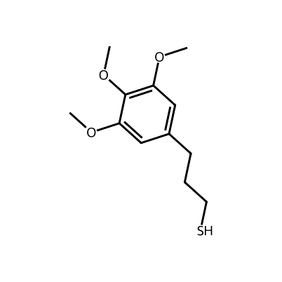 COc1cc(CCCS)cc(OC)c1OC